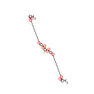 C=CC(=O)OCCCCCCCCCCCCCCCCCCCOc1ccc(C(=O)Oc2cc(F)c(OC(=O)c3ccc(OCCCCCCCCCCCCCCCCCCCOC(=O)C=C)cc3)cc2F)cc1